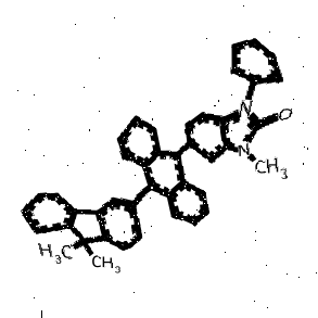 Cn1c(=O)n(-c2ccccc2)c2ccc(-c3c4ccccc4c(-c4ccc5c(c4)-c4ccccc4C5(C)C)c4ccccc34)cc21